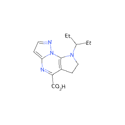 CCC(CC)N1CCc2c(C(=O)O)nc3ccnn3c21